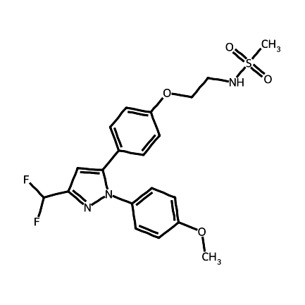 COc1ccc(-n2nc(C(F)F)cc2-c2ccc(OCCNS(C)(=O)=O)cc2)cc1